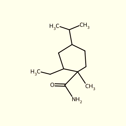 CCC1CC(C(C)C)CCC1(C)C(N)=O